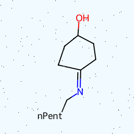 CCCCCCN=C1CCC(O)CC1